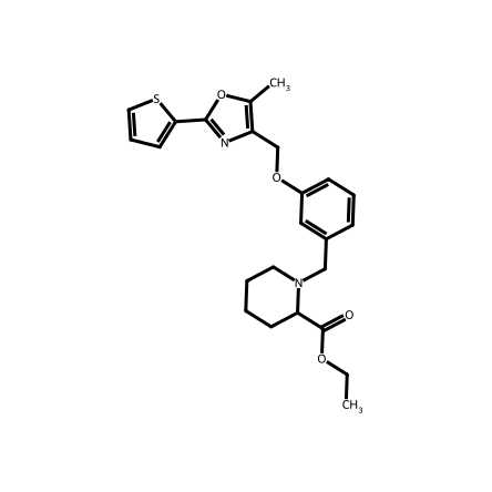 CCOC(=O)C1CCCCN1Cc1cccc(OCc2nc(-c3cccs3)oc2C)c1